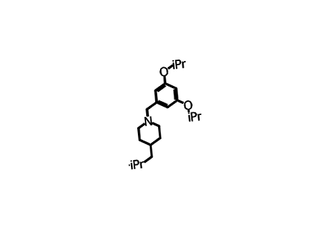 C[C](C)CC1CCN(Cc2cc(OC(C)C)cc(OC(C)C)c2)CC1